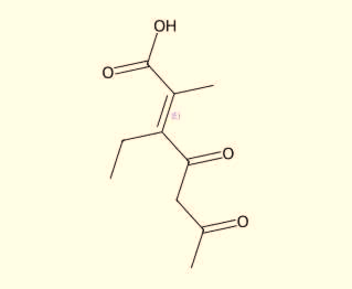 CC/C(C(=O)CC(C)=O)=C(/C)C(=O)O